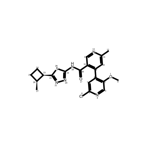 COc1cnc(Cl)cc1-c1cc(C)ncc1C(=O)Nc1nnc([C@@H]2CC[C@@H]2C)s1